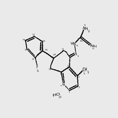 Cc1ccnc2c1C(=NNC(=N)N)CC(c1ccccc1F)C2.Cl